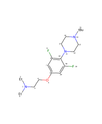 CCN(CC)CCOc1cc(F)c(N2CCN(C(C)(C)C)CC2)c(F)c1